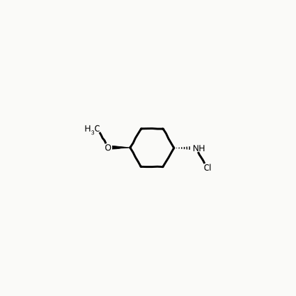 CO[C@H]1CC[C@H](NCl)CC1